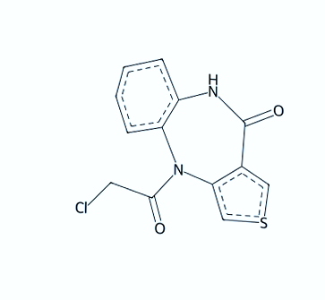 O=C1Nc2ccccc2N(C(=O)CCl)c2cscc21